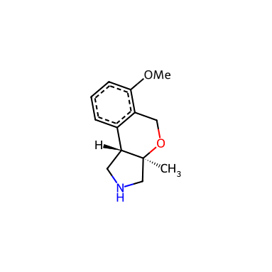 COc1cccc2c1CO[C@@]1(C)CNC[C@H]21